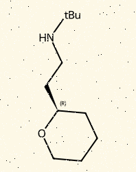 CC(C)(C)NCC[C@H]1CCCCO1